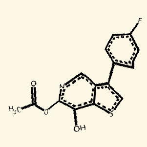 CC(=O)Oc1ncc2c(-c3ccc(F)cc3)csc2c1O